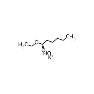 CCCCCC(=O)OCC.[K+].[OH-]